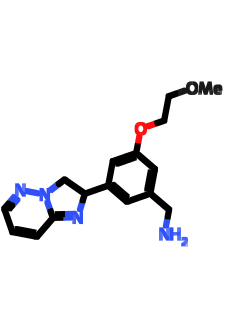 COCCOc1cc(CN)cc(C2CN3N=CC=CC3=N2)c1